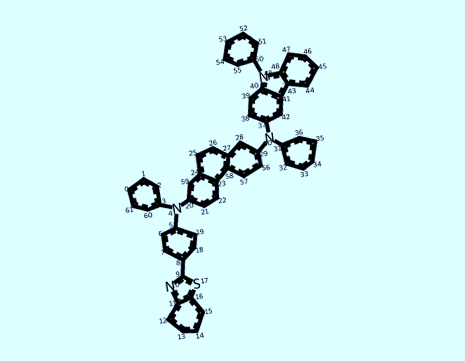 c1ccc(N(c2ccc(-c3nc4ccccc4s3)cc2)c2ccc3c(ccc4cc(N(c5ccccc5)c5ccc6c(c5)c5ccccc5n6-c5ccccc5)ccc43)c2)cc1